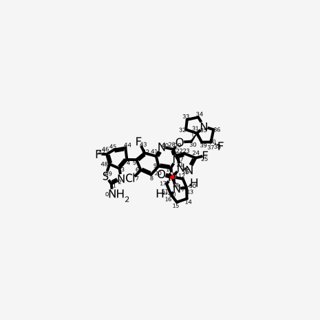 Nc1nc2c(-c3c(Cl)cc4c(N5C[C@H]6CC[C@@H](C5)N6C(=O)n5ccc(F)n5)nc(OC[C@@]56CCCN5C[C@H](F)C6)nc4c3F)ccc(F)c2s1